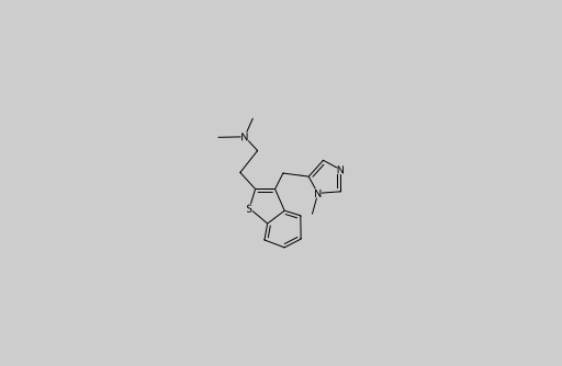 CN(C)CCc1sc2ccccc2c1Cc1cncn1C